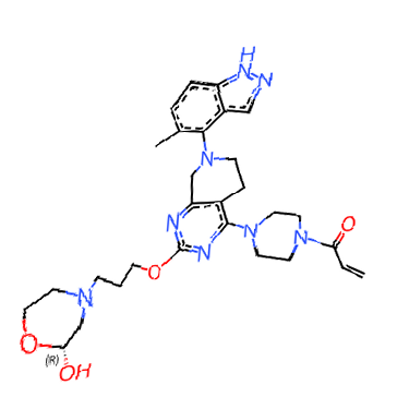 C=CC(=O)N1CCN(c2nc(OCCCN3CCO[C@@H](O)C3)nc3c2CCN(c2c(C)ccc4[nH]ncc24)C3)CC1